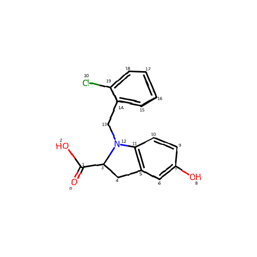 O=C(O)C1Cc2cc(O)ccc2N1Cc1ccccc1Cl